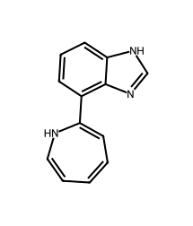 C1=CC=C(c2cccc3[nH]cnc23)NC=C1